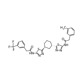 Cc1cccc(CC(=O)Nc2nnc([C@H]3CCC[C@H](c4nnc(NC(=O)Cc5cccc(C(F)(F)F)c5)s4)C3)s2)c1